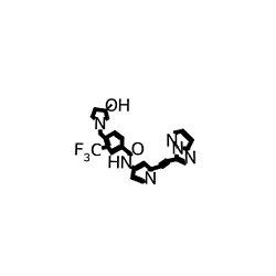 O=C(Nc1ccnc(C#Cc2cnc3cccnn23)c1)c1ccc(CN2CC[C@@H](O)C2)c(C(F)(F)F)c1